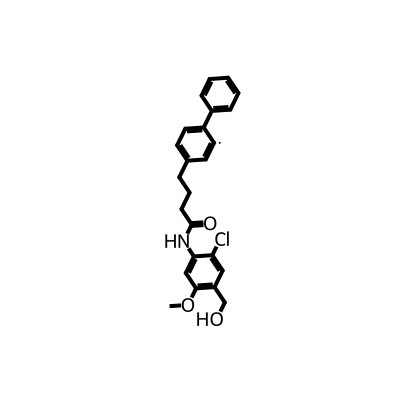 COc1cc(NC(=O)CCCc2c[c]c(-c3ccccc3)cc2)c(Cl)cc1CO